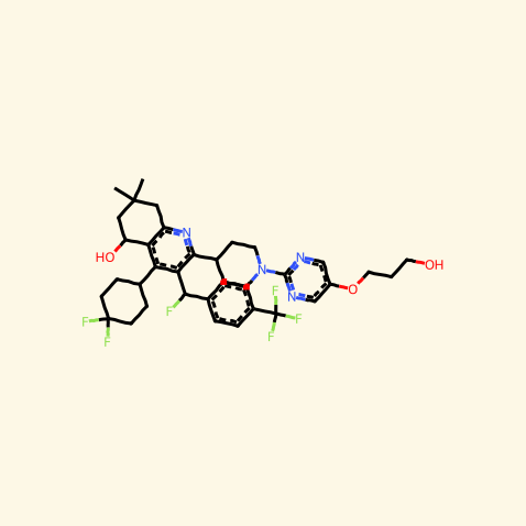 CC1(C)Cc2nc(C3CCN(c4ncc(OCCCO)cn4)CC3)c(C(F)c3ccc(C(F)(F)F)cc3)c(C3CCC(F)(F)CC3)c2C(O)C1